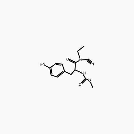 CCN(C#N)C(=O)C(Cc1ccc(O)cc1)NC(=O)OC